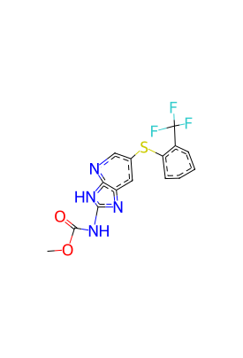 COC(=O)Nc1nc2cc(Sc3ccccc3C(F)(F)F)cnc2[nH]1